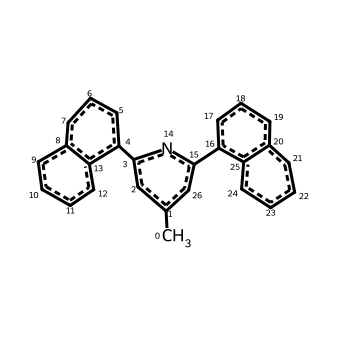 Cc1cc(-c2cccc3ccccc23)nc(-c2cccc3ccccc23)c1